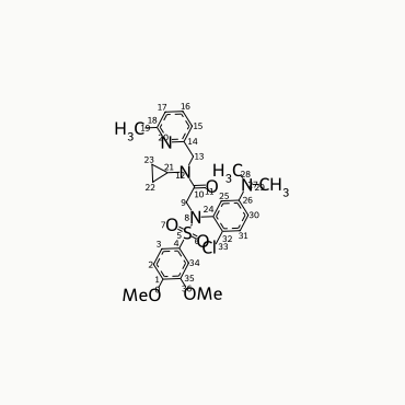 COc1ccc(S(=O)(=O)N(CC(=O)N(Cc2cccc(C)n2)C2CC2)c2cc(N(C)C)ccc2Cl)cc1OC